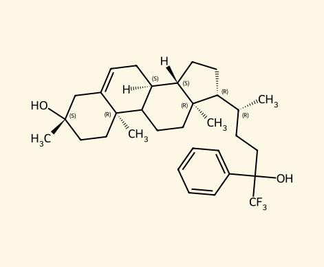 C[C@H](CCC(O)(c1ccccc1)C(F)(F)F)[C@H]1CC[C@H]2[C@@H]3CC=C4C[C@@](C)(O)CC[C@]4(C)C3CC[C@]12C